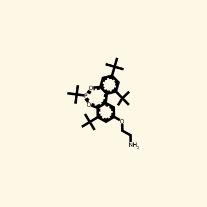 CC(C)(C)c1cc(C(C)(C)C)c2c(c1)op(C(C)(C)C)oc1c(C(C)(C)C)cc(OCCN)cc12